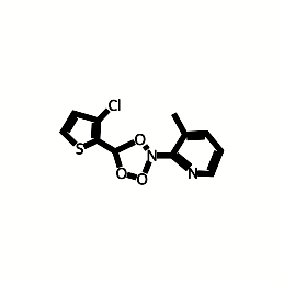 Cc1cccnc1N1OOC(c2sccc2Cl)O1